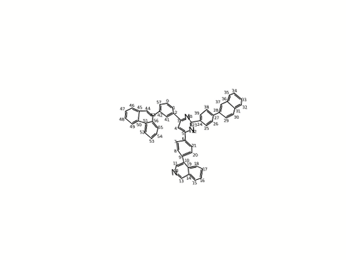 c1cc(-c2cc(-c3ccc(-c4cncc5ccccc45)cc3)nc(-c3ccc(-c4ccc5ccccc5c4)cc3)n2)cc(-c2cc3ccccc3c3ccccc23)c1